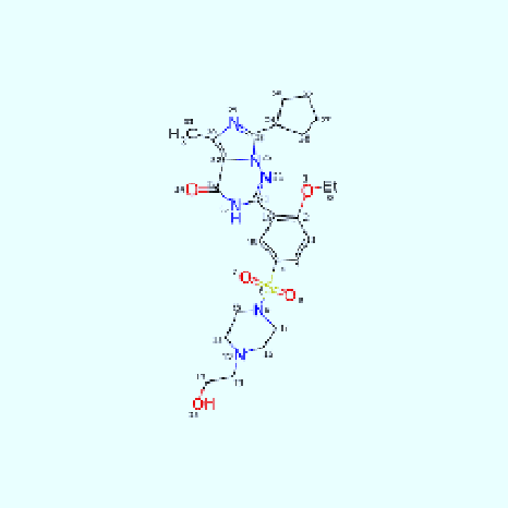 CCOc1ccc(S(=O)(=O)N2CCN(CCO)CC2)cc1-c1nn2c(C3CCCC3)nc(C)c2c(=O)[nH]1